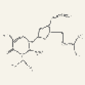 CC1=CN([C@H]2CC(N=[N+]=[N-])[C@@H](COC(C)C)O2)C(O)N(C(C)C)C1=O